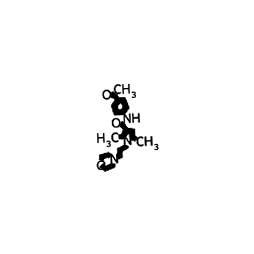 CC(=O)c1ccc(NC(=O)c2cc(C)n(CCCN3CCOCC3)c2C)cc1